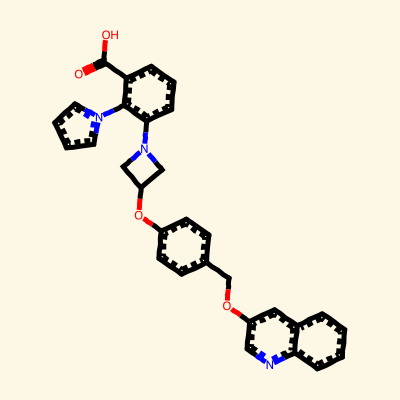 O=C(O)c1cccc(N2CC(Oc3ccc(COc4cnc5ccccc5c4)cc3)C2)c1-n1cccc1